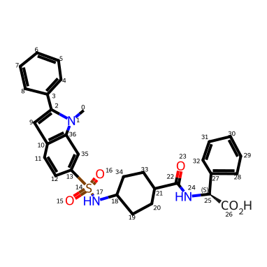 Cn1c(-c2ccccc2)cc2ccc(S(=O)(=O)NC3CCC(C(=O)N[C@H](C(=O)O)c4ccccc4)CC3)cc21